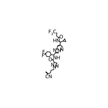 C=C(C#N)CCCn1ncc(C(=O)N[C@H](c2cn3ncc(C(NC(=O)CCC(F)(F)F)C4CC4)cc3n2)C2CCC(F)(F)CC2)n1